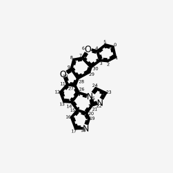 c1ccc2c(c1)oc1cc3oc4ccc5c6ccncc6c6nccn6c5c4c3cc12